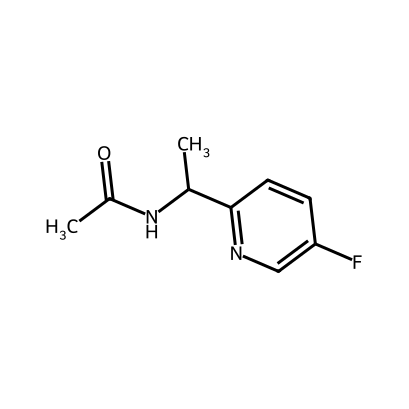 CC(=O)NC(C)c1ccc(F)cn1